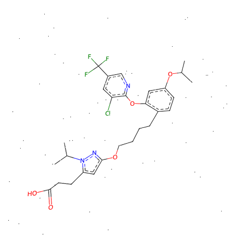 CC(C)Oc1ccc(CCCCOc2cc(CCC(=O)O)n(C(C)C)n2)c(Oc2ncc(C(F)(F)F)cc2Cl)c1